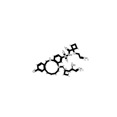 C=CCOC1(C(=O)NS(=O)(=O)c2ccc3c(c2)N(C[C@@H]2CC[C@H]2[C@@H](O)C=C)CCCCc2cc(Cl)ccc2CO3)CCC1